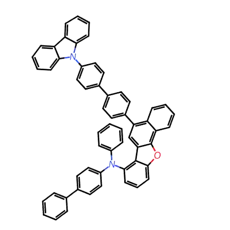 c1ccc(-c2ccc(N(c3ccccc3)c3cccc4oc5c6ccccc6c(-c6ccc(-c7ccc(-n8c9ccccc9c9ccccc98)cc7)cc6)cc5c34)cc2)cc1